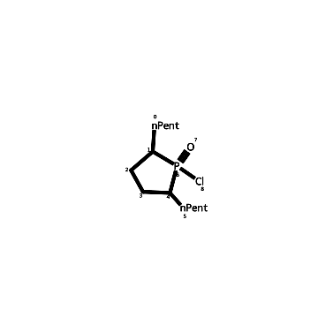 CCCCCC1CCC(CCCCC)P1(=O)Cl